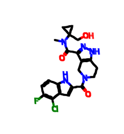 CN(C(=O)c1n[nH]c2c1CN(C(=O)c1cc3c(Cl)c(F)ccc3[nH]1)CC2)C1(CO)CC1